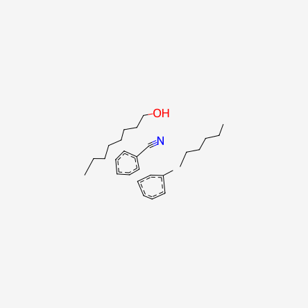 CCCCCC.CCCCCCCCO.Cc1ccccc1.N#Cc1ccccc1